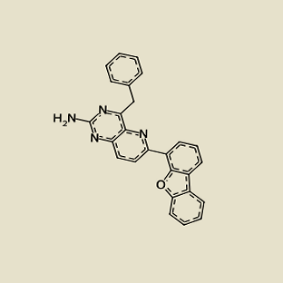 Nc1nc(Cc2ccccc2)c2nc(-c3cccc4c3oc3ccccc34)ccc2n1